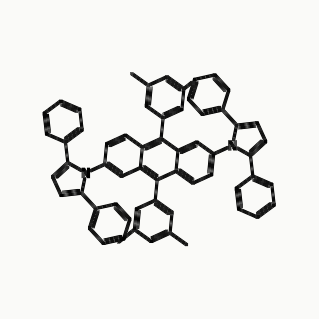 Cc1cc(C)cc(-c2c3ccc(-n4c(-c5ccccc5)ccc4-c4ccccc4)cc3c(-c3cc(C)cc(C)c3)c3ccc(-n4c(-c5ccccc5)ccc4-c4ccccc4)cc23)c1